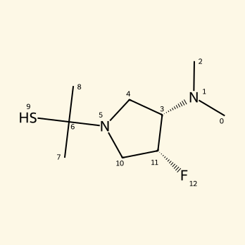 CN(C)[C@H]1CN(C(C)(C)S)C[C@H]1F